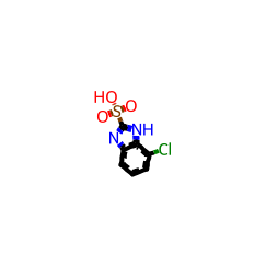 O=S(=O)(O)c1nc2cccc(Cl)c2[nH]1